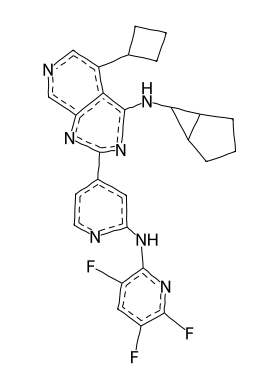 Fc1cc(F)c(Nc2cc(-c3nc(NC4C5CCCC54)c4c(C5CCC5)cncc4n3)ccn2)nc1F